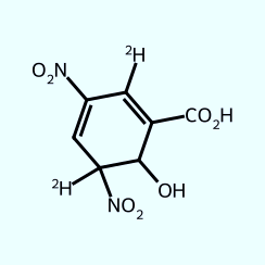 [2H]C1=C(C(=O)O)C(O)C([2H])([N+](=O)[O-])C=C1[N+](=O)[O-]